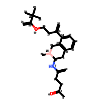 C=C(CCC(C)=O)NC1Cc2cccc(C(=C)CCOC(=C)C(C)(C)C)c2CB1C